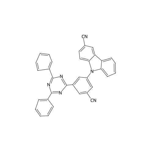 N#Cc1cc(-c2nc(-c3ccccc3)nc(-c3ccccc3)n2)cc(-n2c3ccccc3c3cc(C#N)ccc32)c1